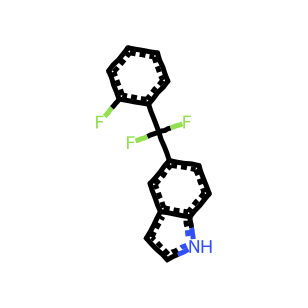 Fc1ccccc1C(F)(F)c1ccc2[nH]ccc2c1